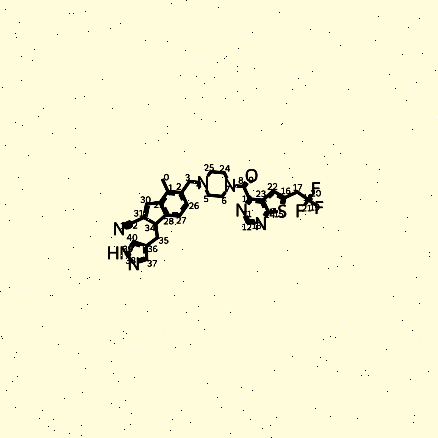 Cc1c(CN2CCN(C(=O)c3ncnc4sc(CC(F)(F)F)cc34)CC2)ccc2c1C=C(C#N)C2Cc1cn[nH]c1